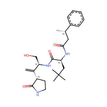 C=C([C@@H]1CCNC1=O)[C@@H](CO)NC(=O)[C@H](CC(C)(C)C)NC(=O)C[C@H](C)c1ccccc1